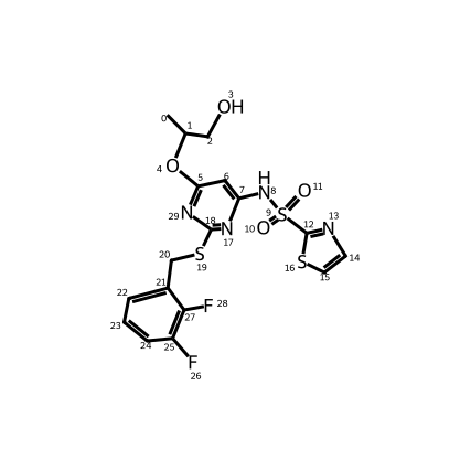 CC(CO)Oc1cc(NS(=O)(=O)c2nccs2)nc(SCc2cccc(F)c2F)n1